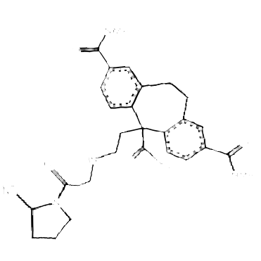 CNC(=O)c1ccc2c(c1)CCc1cc(C(=O)NC)ccc1C2(CCNCC(=O)N1CCCC1C#N)C(N)=O